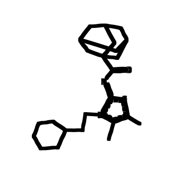 Cc1s/c(=N\C(=O)C23CC4CC(CC(C4)C2)C3)n(CCC2CCCCC2)c1C